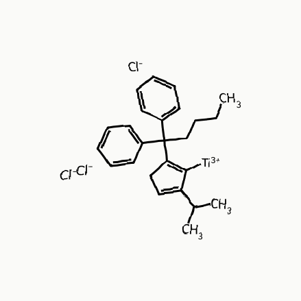 CCCCC(C1=[C]([Ti+3])C(C(C)C)=CC1)(c1ccccc1)c1ccccc1.[Cl-].[Cl-].[Cl-]